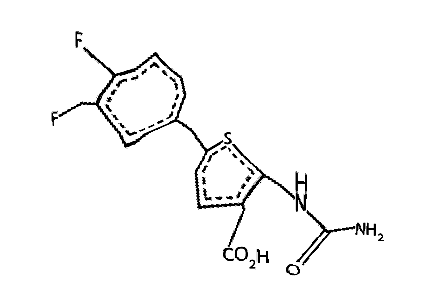 NC(=O)Nc1sc(-c2ccc(F)c(F)c2)cc1C(=O)O